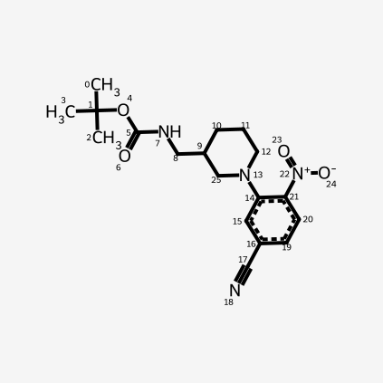 CC(C)(C)OC(=O)NCC1CCCN(c2cc(C#N)ccc2[N+](=O)[O-])C1